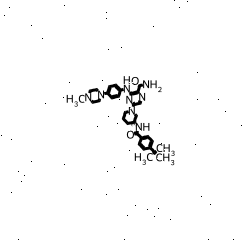 CN1CCN(c2ccc(Nc3nc(N4CCC[C@@H](NC(=O)c5ccc(C(C)(C)C)cc5)C4)cnc3C(N)=O)cc2)CC1